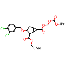 COCOC(=O)C1C(OCc2ccc(Cl)c(Cl)c2)CC2C(C(=O)OCOC(=O)OC(C)C)C21